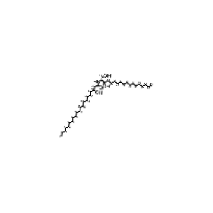 CCCCCCCCCCCCCCCCCCC(O)CC(=O)N[C@@H](CO)[C@H](O)CCCCCCCCCCCCCCC